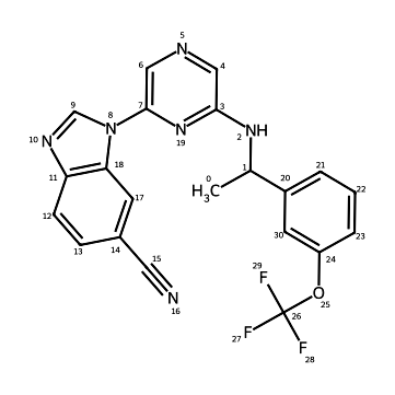 CC(Nc1cncc(-n2cnc3ccc(C#N)cc32)n1)c1cccc(OC(F)(F)F)c1